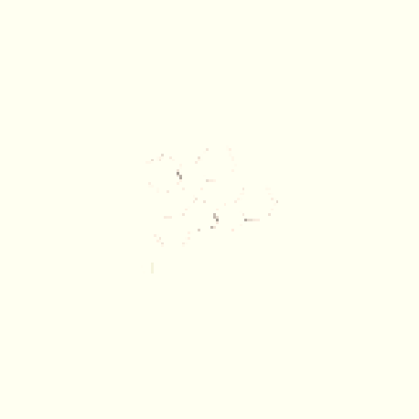 Clc1ccc2c(c1)-c1oc3ccccc3c1C2(c1ccccc1)c1ccccc1